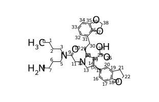 CCCCN(CCCN)C(=O)CN1C[C@H](c2ccc3c(c2)CCO3)[C@@H](C(=O)O)[C@@H]1CCc1cccc2c1OCO2